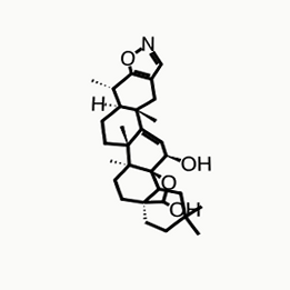 C[C@@H]1c2oncc2C[C@]2(C)C3=C[C@@H](O)[C@]45OC(O)[C@@]6(CCC(C)(C)CC64)CC[C@@]5(C)[C@]3(C)CC[C@@H]12